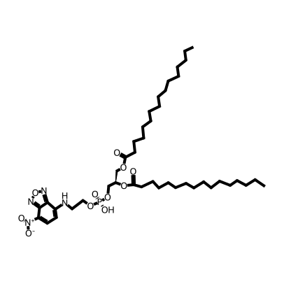 CCCCCCCCCCCCCCCC(=O)OC[C@H](COP(=O)(O)OCCNc1ccc([N+](=O)[O-])c2nonc12)OC(=O)CCCCCCCCCCCCCCC